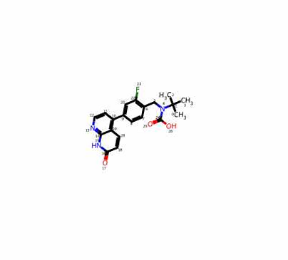 CC(C)(C)N(Cc1ccc(-c2ccnc3[nH]c(=O)ccc23)cc1F)C(=O)O